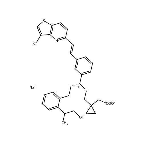 CC(CO)c1ccccc1CC[C@@H](SCC1(CC(=O)[O-])CC1)c1cccc(C=Cc2ccc3scc(Cl)c3n2)c1.[Na+]